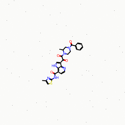 Cc1csc(NC(=O)c2ccnc3c(C(=O)C(=O)N4CCN(C(=O)c5ccccc5)CC4C)c[nH]c23)n1